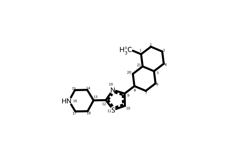 CC1CCCC2CCC(c3csc(C4CCNCC4)n3)CC12